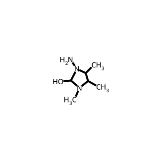 CC1C(C)N(N)C(O)N1C